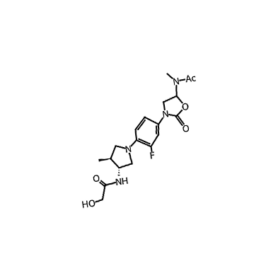 CC(=O)N(C)C1CN(c2ccc(N3C[C@H](NC(=O)CO)[C@@H](C)C3)c(F)c2)C(=O)O1